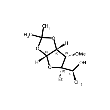 CC[C@]1([C@H](C)O)O[C@@H]2OC(C)(C)O[C@@H]2[C@@H]1OC